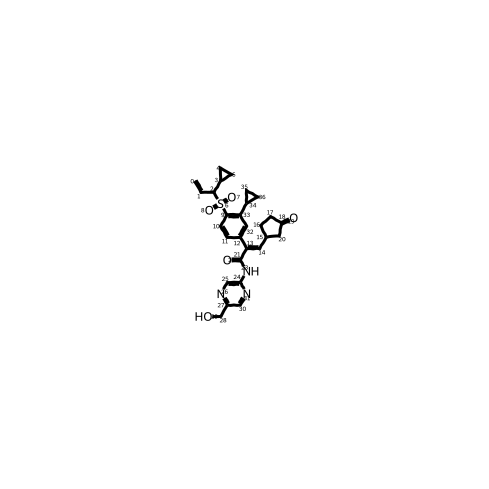 C=CC(C1CC1)S(=O)(=O)c1ccc(/C(=C\C2CCC(=O)C2)C(=O)Nc2cnc(CO)cn2)cc1C1CC1